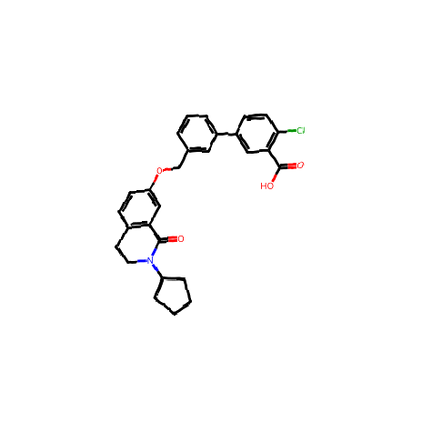 O=C(O)c1cc(-c2cccc(COc3ccc4c(c3)C(=O)N(C3CCCC3)CC4)c2)ccc1Cl